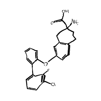 NC1(C(=O)O)CCc2ccc(Oc3ccccc3-c3cccc(Cl)c3F)cc2C1